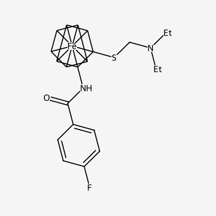 CCN(CC)CS[C]12[CH]3[CH]4[CH]5[C]1(NC(=O)c1ccc(F)cc1)[Fe]45321678[CH]2[CH]1[CH]6[CH]7[CH]28